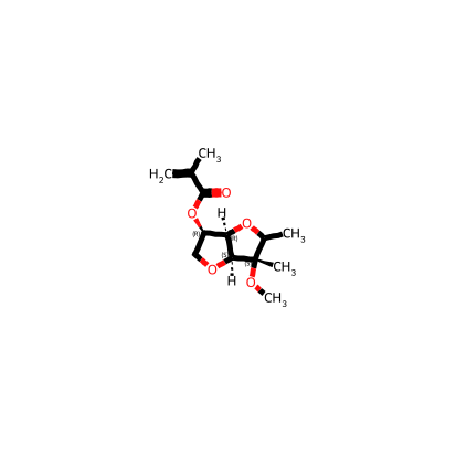 C=C(C)C(=O)O[C@@H]1CO[C@H]2[C@@H]1OC(C)[C@]2(C)OC